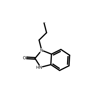 [CH2]CCn1c(=O)[nH]c2ccccc21